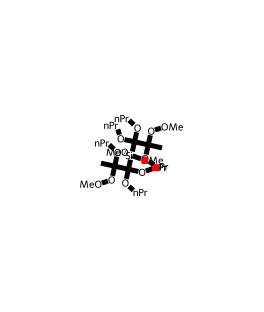 CCCOC(C)(OOC)C(OCCC)(OCCC)[Si](OC)(OC)C(OCCC)(OCCC)C(C)(OCCC)OOC